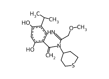 C=C(c1cc(C(C)C)c(O)cc1O)N(C(=N)COC)C1CCSCC1